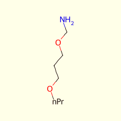 CCCOCCCOCN